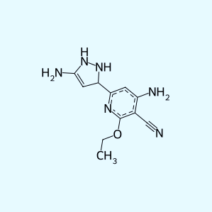 CCOc1nc(C2C=C(N)NN2)cc(N)c1C#N